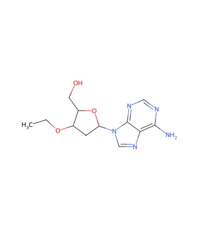 CCOC1CC(n2cnc3c(N)ncnc32)OC1CO